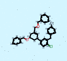 CCc1ccc(Cc2cc(C3C=C(COCc4ccccc4)C[C@H](OCc4ccccc4)C3)ccc2Cl)cc1